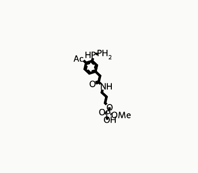 COP(=O)(O)OCCCNC(=O)Cc1ccc(C(C)=O)c(PP)c1